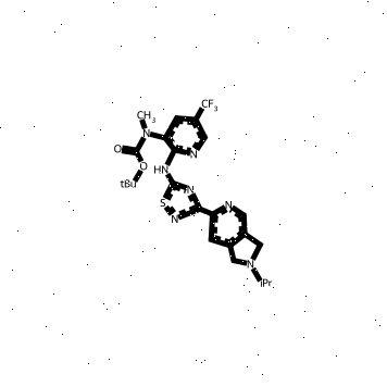 CC(C)N1Cc2cnc(-c3nsc(Nc4ncc(C(F)(F)F)cc4N(C)C(=O)OC(C)(C)C)n3)cc2C1